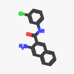 Nc1cc2ccccc2cc1C(=O)Nc1cccc(Cl)c1